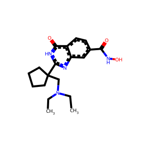 CCN(CC)CC1(c2nc3cc(C(=O)NO)ccc3c(=O)[nH]2)CCCC1